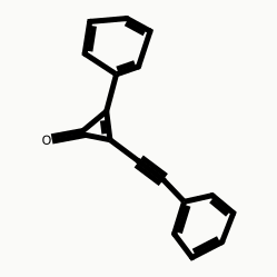 O=c1c(C#Cc2ccccc2)c1-c1ccccc1